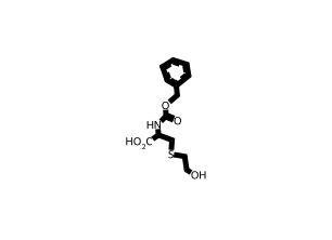 O=C(NC(CSCCO)C(=O)O)OCc1ccccc1